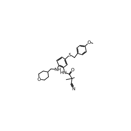 COc1ccc(CSc2ccc(NCC3CCOCC3)c(NC(=O)C(C)(C)C#N)c2)cc1